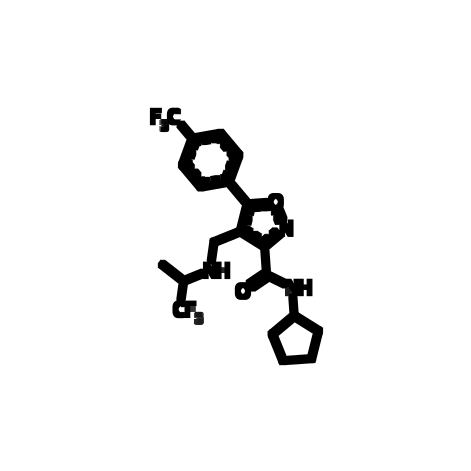 CC(NCc1c(C(=O)NC2CCCC2)noc1-c1ccc(C(F)(F)F)cc1)C(F)(F)F